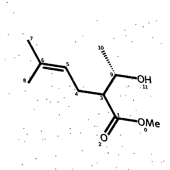 COC(=O)C(CC=C(C)C)[C@H](C)O